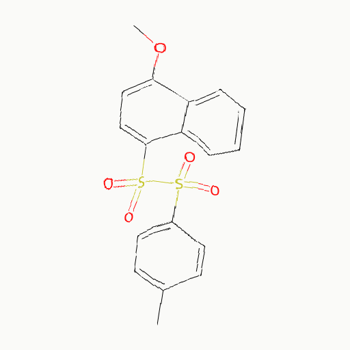 COc1ccc(S(=O)(=O)S(=O)(=O)c2ccc(C)cc2)c2ccccc12